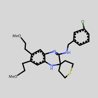 COCCc1cc2c(cc1CCOC)NC1(CCSCC1)C(NCc1cccc(Cl)c1)=N2